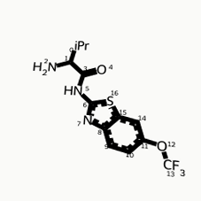 CC(C)C(N)C(=O)Nc1nc2ccc(OC(F)(F)F)cc2s1